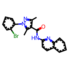 Cc1nn(-c2ccccc2Br)c(C)c1C(=O)Nc1ccc2ccccc2n1